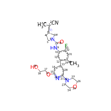 C/C(C#N)=C1\CCN(C(=O)Nc2cc(-c3cc(OCCO)nc(N4CCOCC4)c3)c(C)cc2F)C1